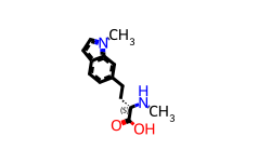 CN[C@@H](CCc1ccc2ccn(C)c2c1)C(=O)O